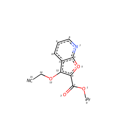 CC(C)OC(=O)c1oc2ncccc2c1OCC#N